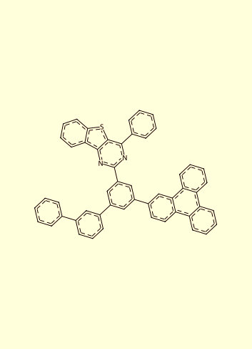 c1ccc(-c2cccc(-c3cc(-c4ccc5c6ccccc6c6ccccc6c5c4)cc(-c4nc(-c5ccccc5)c5sc6ccccc6c5n4)c3)c2)cc1